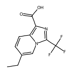 CCc1ccc2c(C(=O)O)nc(C(F)(F)F)n2c1